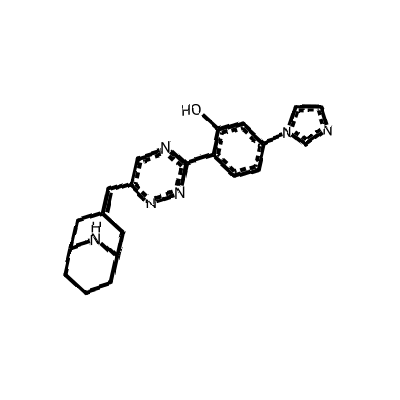 Oc1cc(-n2ccnc2)ccc1-c1ncc(C=C2CC3CCCC(C2)N3)nn1